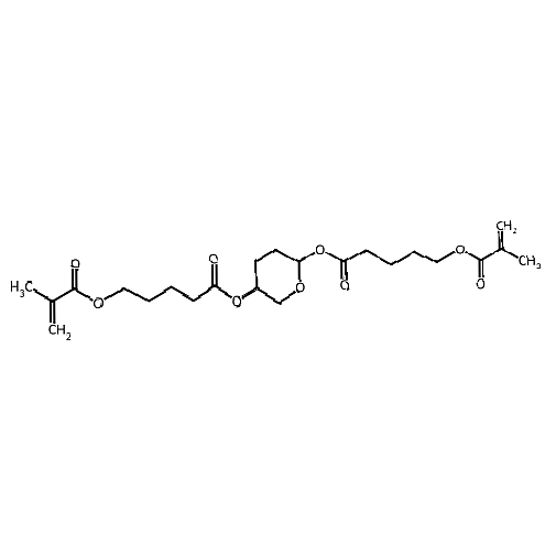 C=C(C)C(=O)OCCCCC(=O)OC1CCC(OC(=O)CCCCOC(=O)C(=C)C)OC1